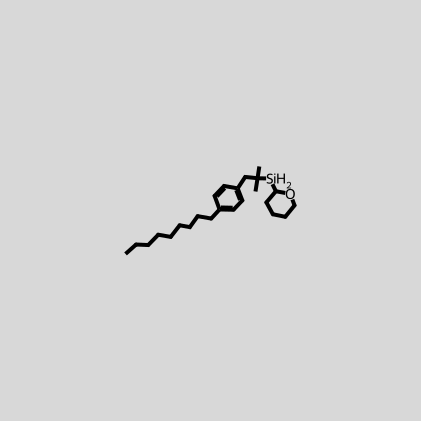 CCCCCCCCCc1ccc(CC(C)(C)[SiH2]C2CCCCO2)cc1